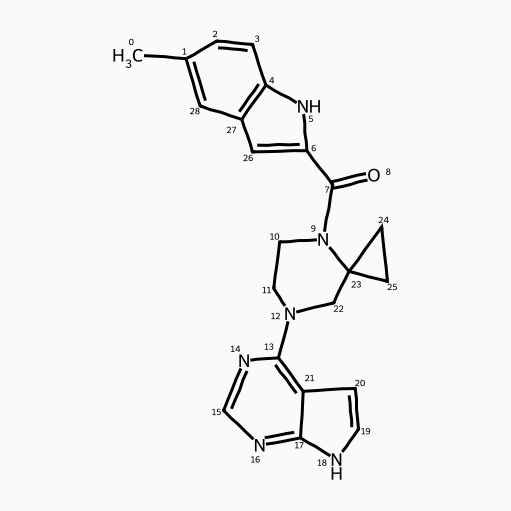 Cc1ccc2[nH]c(C(=O)N3CCN(c4ncnc5[nH]ccc45)CC34CC4)cc2c1